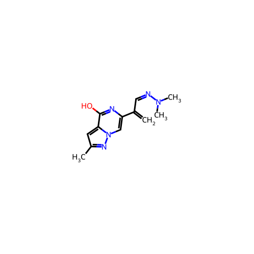 C=C(/C=N\N(C)C)c1cn2nc(C)cc2c(O)n1